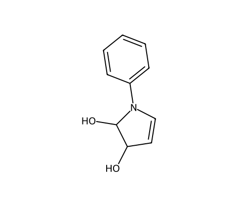 OC1C=CN(c2ccccc2)C1O